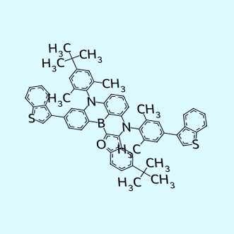 Cc1cc(C(C)(C)C)cc(C)c1N1c2cc(-c3csc4ccccc34)ccc2B2c3oc4ccc(C(C)(C)C)cc4c3N(c3c(C)cc(-c4csc5ccccc45)cc3C)c3cccc1c32